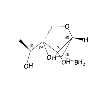 B[C@@H]1O[C@]2([C@H](C)O)CO[C@H]1[C@H]2O